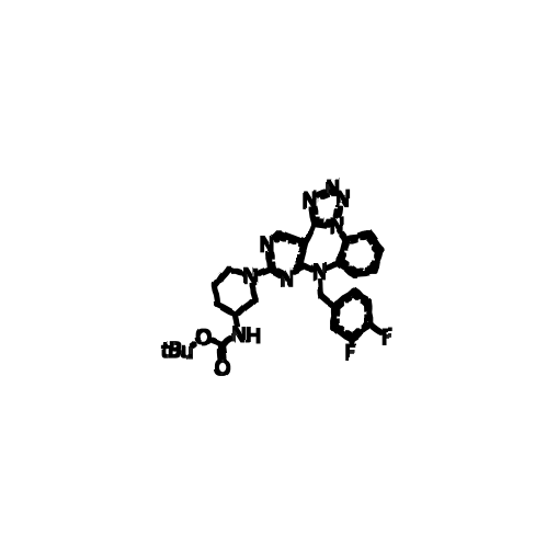 CC(C)(C)OC(=O)NC1CCCN(c2ncc3c(n2)N(Cc2ccc(F)c(F)c2)c2ccccc2-n2nnnc2-3)C1